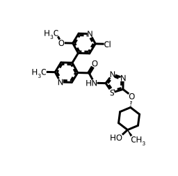 COc1cnc(Cl)cc1-c1cc(C)ncc1C(=O)Nc1nnc(O[C@H]2CC[C@@](C)(O)CC2)s1